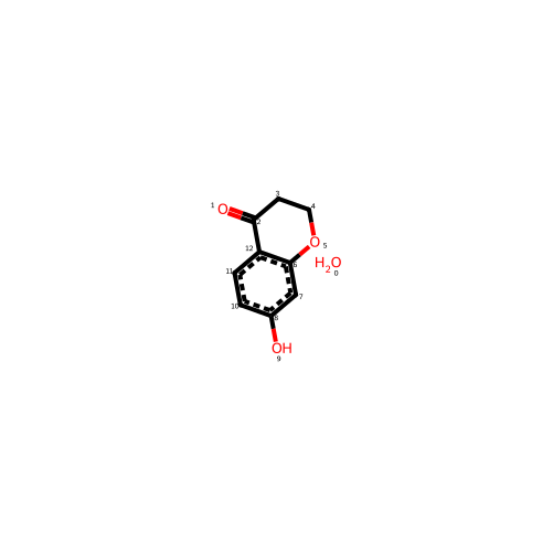 O.O=C1CCOc2cc(O)ccc21